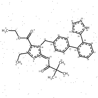 CCOC(=O)c1c(CC)sc(=NC(=O)C(C)(C)C)n1Cc1ccc(-c2ccccc2-c2nnn[nH]2)cc1